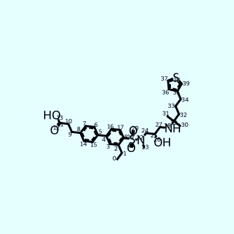 CCc1cc(-c2ccc(CCC(=O)O)cc2)ccc1S(=O)(=O)N(C)C[C@H](O)CNC(C)(C)CCCc1ccsc1